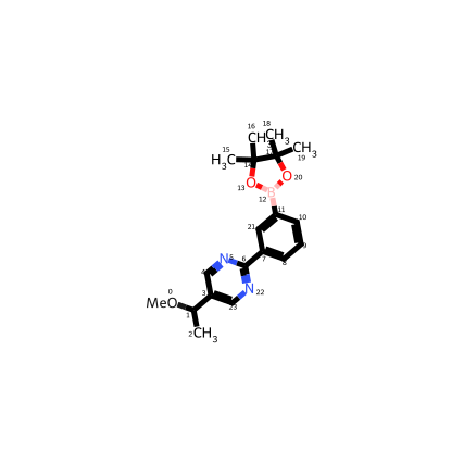 COC(C)c1cnc(-c2cccc(B3OC(C)(C)C(C)(C)O3)c2)nc1